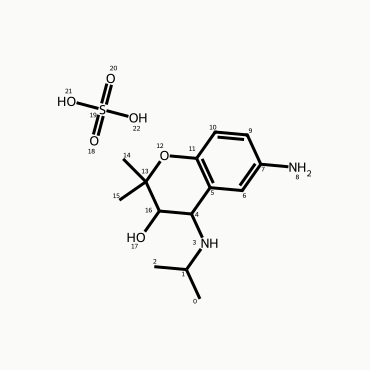 CC(C)NC1c2cc(N)ccc2OC(C)(C)C1O.O=S(=O)(O)O